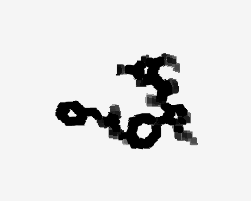 Cc1sc(Br)nc1C(=O)Nc1cnn(C)c1N1CCC[C@@H](NC(=O)OCc2ccccc2)CC1